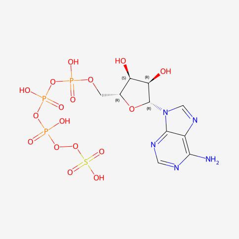 Nc1ncnc2c1ncn2[C@@H]1O[C@H](COP(=O)(O)OP(=O)(O)OP(=O)(O)OOS(=O)(=O)O)[C@@H](O)[C@H]1O